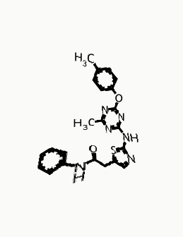 Cc1ccc(Oc2nc(C)nc(Nc3ncc(CC(=O)Nc4ccccc4)s3)n2)cc1